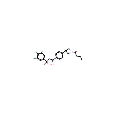 CCCC(=O)N1CC(F)(c2ccc(C3=NOC(C)(c4cc(Cl)c(Cl)c(Cl)c4)C3)cc2)C1